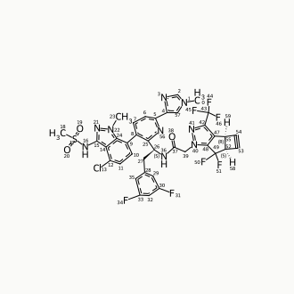 Cn1cnc(-c2ccc(-c3ccc(Cl)c4c(NS(C)(=O)=O)nn(C)c34)c([C@H](Cc3cc(F)cc(F)c3)NC(=O)Cn3nc(C(F)(F)F)c4c3C(F)(F)[C@@H]3C#C[C@H]43)n2)c1